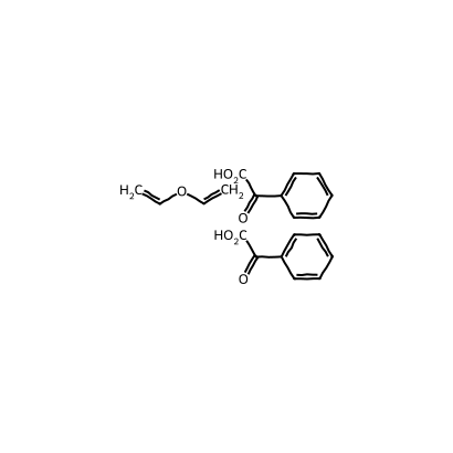 C=COC=C.O=C(O)C(=O)c1ccccc1.O=C(O)C(=O)c1ccccc1